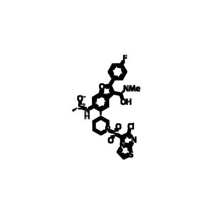 CN[C@H](O)c1c(-c2ccc(F)cc2)oc2cc(N[S@+](C)[O-])c([C@H]3CCCN(S(=O)(=O)c4c(Cl)nc5sccn45)C3)cc12